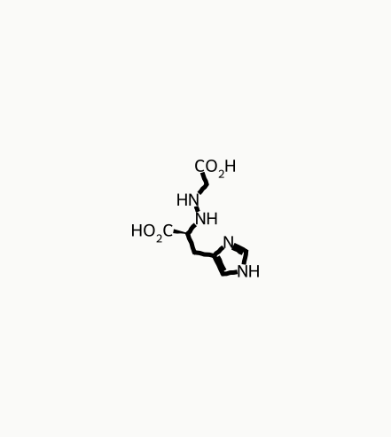 O=C(O)CNN[C@@H](Cc1c[nH]cn1)C(=O)O